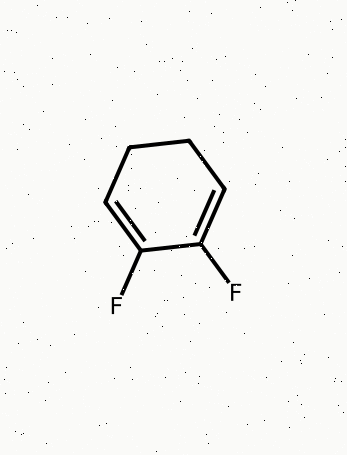 FC1=CCCC=C1F